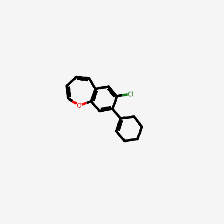 Clc1cc2c(cc1C1=CCCCC1)OC=CC=C2